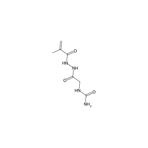 C=C(C)C(=O)NNC(=O)CNC(N)=O